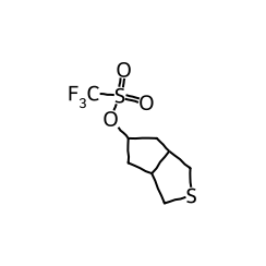 O=S(=O)(OC1CC2CSCC2C1)C(F)(F)F